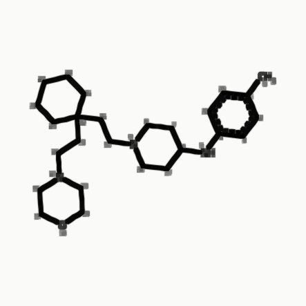 Cc1ccc(NC2CCN(CCC3(CCN4CCOCC4)CCCCC3)CC2)cc1